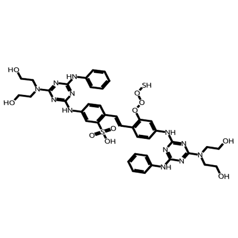 O=S(=O)(O)c1cc(Nc2nc(Nc3ccccc3)nc(N(CCO)CCO)n2)ccc1/C=C/c1ccc(Nc2nc(Nc3ccccc3)nc(N(CCO)CCO)n2)cc1OOOS